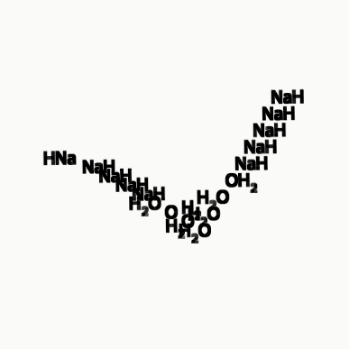 O.O.O.O.O.O.O.[NaH].[NaH].[NaH].[NaH].[NaH].[NaH].[NaH].[NaH].[NaH].[NaH]